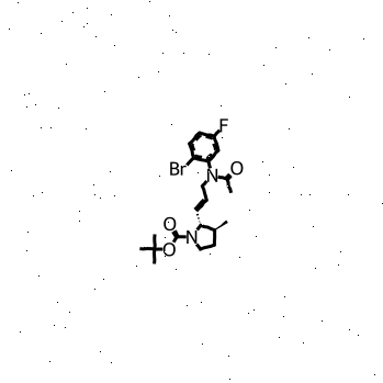 CC(=O)N(C/C=C/[C@@H]1[C@@H](C)CCN1C(=O)OC(C)(C)C)c1cc(F)ccc1Br